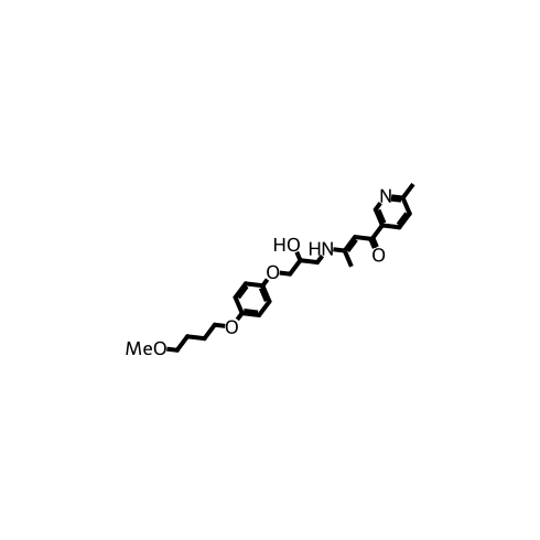 COCCCCOc1ccc(OCC(O)CN/C(C)=C/C(=O)c2ccc(C)nc2)cc1